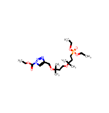 CCOC(=O)n1cc(COC(C)(C)CCOC(C)(C)CCP(=O)(OCC)OCC)nn1